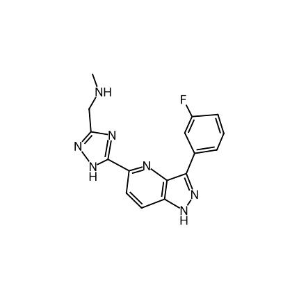 CNCc1n[nH]c(-c2ccc3[nH]nc(-c4cccc(F)c4)c3n2)n1